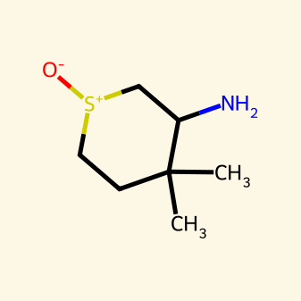 CC1(C)CC[S+]([O-])CC1N